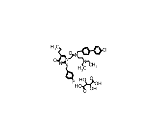 CCCc1cn(CC(=O)N(CCN(CC)CC)Cc2ccc(-c3ccc(Cl)cc3)cc2)c(SCc2ccc(F)cc2)nc1=O.O=C(O)C(O)C(O)C(=O)O